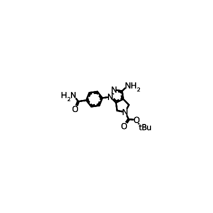 CC(C)(C)OC(=O)N1Cc2c(N)nn(-c3ccc(C(N)=O)cc3)c2C1